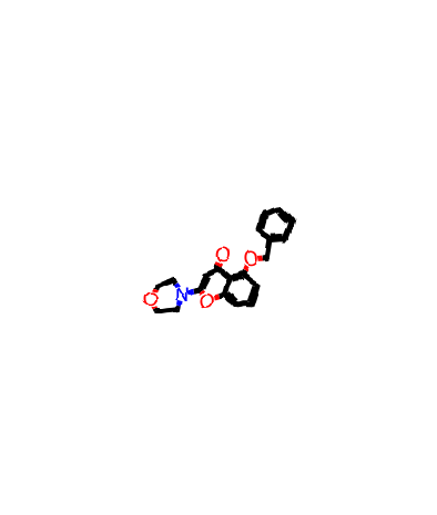 O=c1cc(N2CCOCC2)oc2cccc(OCc3ccccc3)c12